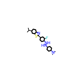 CC(C)c1ccc2nc(-c3ccc(NNc4ccc(N(C)C)cc4)c(F)c3)sc2c1